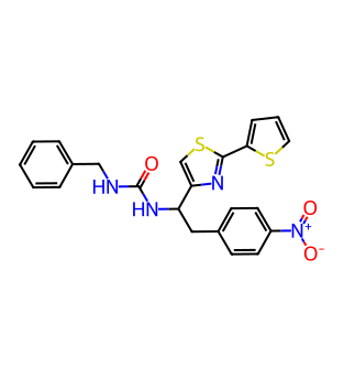 O=C(NCc1ccccc1)NC(Cc1ccc([N+](=O)[O-])cc1)c1csc(-c2cccs2)n1